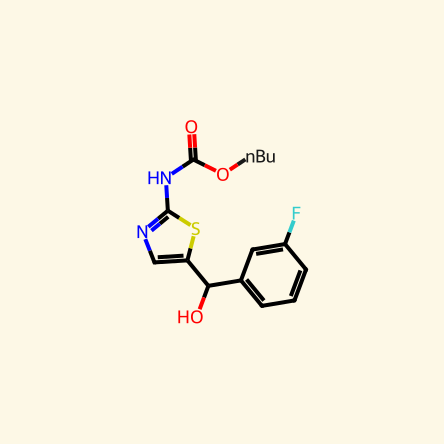 CCCCOC(=O)Nc1ncc(C(O)c2cccc(F)c2)s1